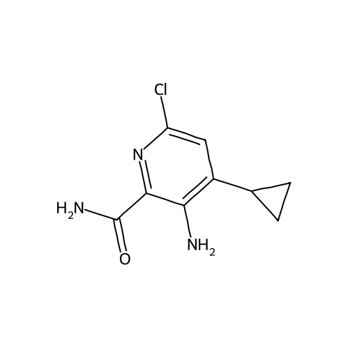 NC(=O)c1nc(Cl)cc(C2CC2)c1N